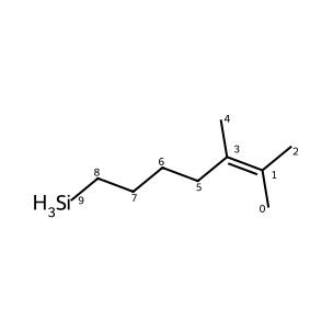 CC(C)=C(C)CCCC[SiH3]